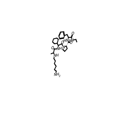 CCNC(=O)C(Cc1ccccc1)NC(=O)[C@@H]1CCCN1C(=O)C(NC(=O)C(C)NCCCCCCN)C1CCCCC1